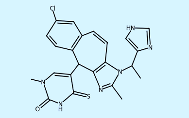 Cc1nc2c(n1C(C)c1c[nH]cn1)C=Cc1cc(Cl)ccc1C2c1cn(C)c(=O)[nH]c1=S